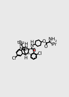 CC(C)[C@H](N)C(=O)OC1CCC(NC(=O)[C@@H]2N[C@H](CC(C)(C)C)C3C4=CC(Cl)=CC3[C@@H](C(=O)N4)[C@H]2c2cccc(Cl)c2F)CC1